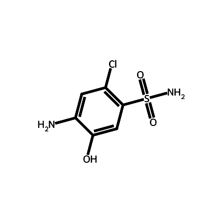 Nc1cc(Cl)c(S(N)(=O)=O)cc1O